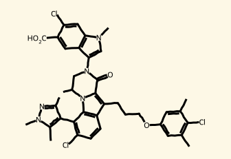 Cc1cc(OCCCc2c3n(c4c(-c5c(C)nn(C)c5C)c(Cl)ccc24)C(C)CN(c2cn(C)c4cc(Cl)c(C(=O)O)cc24)C3=O)cc(C)c1Cl